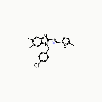 Cc1ccc(/C=C/c2nc3cc(C)c(C)cc3n2Cc2ccc(Cl)cc2)s1